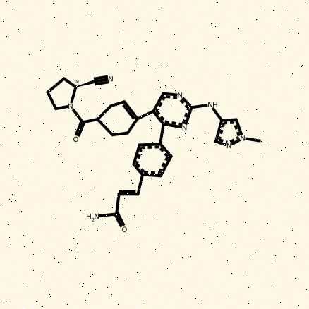 Cn1cc(Nc2ncc(C3=CCC(C(=O)N4CCC[C@H]4C#N)CC3)c(-c3ccc(C=CC(N)=O)cc3)n2)cn1